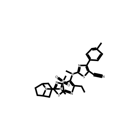 CCc1nc2sc(N3C4CCC3CC(N(C)S(C)(=O)=O)C4)nn2c1N(C)c1nc(-c2ccc(C)cc2)c(C#N)s1